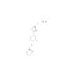 Cc1oc(-c2ccc(OCc3ccccn3)cc2)nc1CCN1CCCC1C